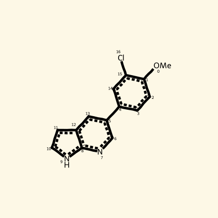 COc1ccc(-c2cnc3[nH]ccc3c2)cc1Cl